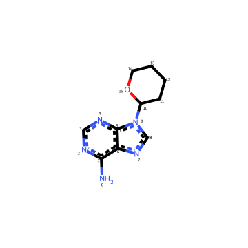 Nc1ncnc2c1ncn2C1CCCCO1